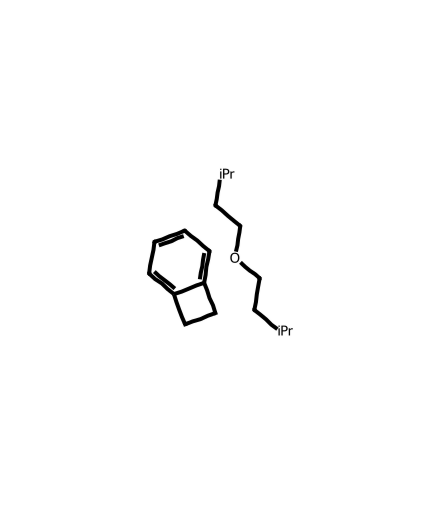 CC(C)CCOCCC(C)C.c1ccc2c(c1)CC2